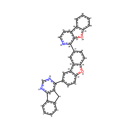 c1ccc2c(c1)Cc1c(-c3ccc4oc5ccc(-c6nccc7c6oc6ccccc67)cc5c4c3)ncnc1-2